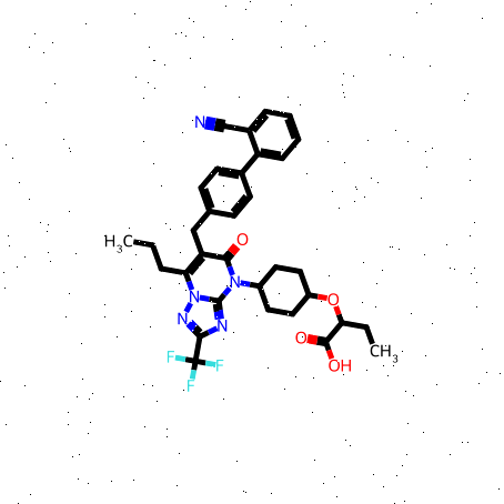 CCCc1c(Cc2ccc(-c3ccccc3C#N)cc2)c(=O)n(C2CCC(OC(CC)C(=O)O)CC2)c2nc(C(F)(F)F)nn12